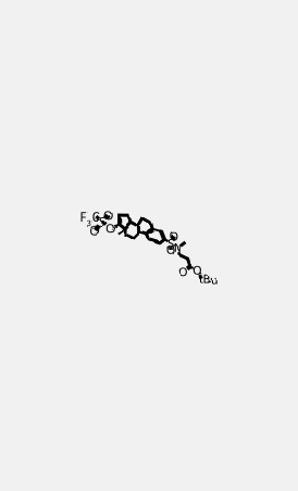 CN(CCC(=O)OC(C)(C)C)S(=O)(=O)c1ccc2c(c1)CCC1C2CC[C@]2(C)C(OS(=O)(=O)C(F)(F)F)=CCC12